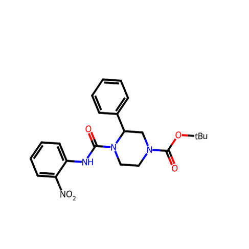 CC(C)(C)OC(=O)N1CCN(C(=O)Nc2ccccc2[N+](=O)[O-])C(c2ccccc2)C1